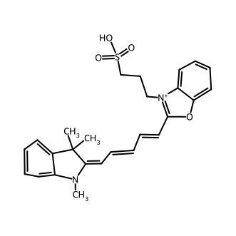 CN1/C(=C/C=C/C=C/c2oc3ccccc3[n+]2CCCS(=O)(=O)O)C(C)(C)c2ccccc21